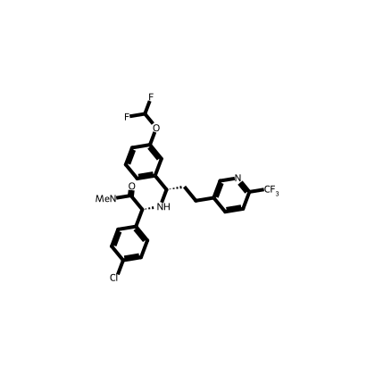 CNC(=O)[C@H](N[C@@H](CCc1ccc(C(F)(F)F)nc1)c1cccc(OC(F)F)c1)c1ccc(Cl)cc1